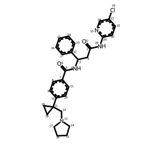 O=C(CC(NC(=O)c1ccc(C2(CN3CCCC3)CC2)cc1)c1ccccc1)Nc1ccc(Cl)cn1